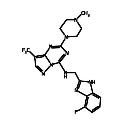 CN1CCN(c2nc(NCc3nc4c(F)cccc4[nH]3)n3ncc(C(F)(F)F)c3n2)CC1